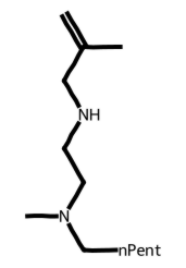 C=C(C)CNCCN(C)CCCCCC